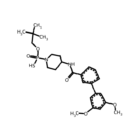 COc1cc(OC)cc(-c2cccc(C(=O)NC3CCN(P(=O)(S)OCC(C)(C)C)CC3)c2)c1